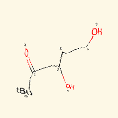 CC(C)(C)C(=O)C(O)CCO